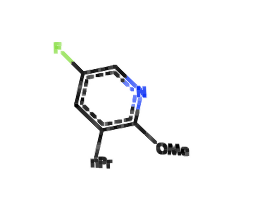 CCCc1cc(F)cnc1OC